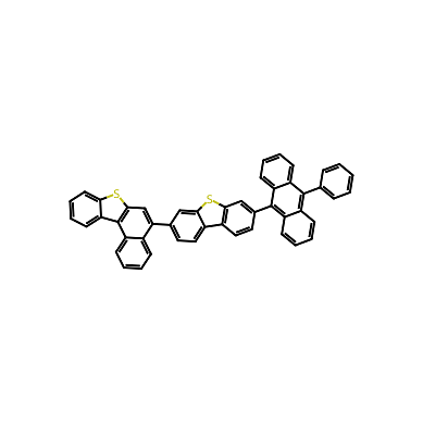 c1ccc(-c2c3ccccc3c(-c3ccc4c(c3)sc3cc(-c5cc6sc7ccccc7c6c6ccccc56)ccc34)c3ccccc23)cc1